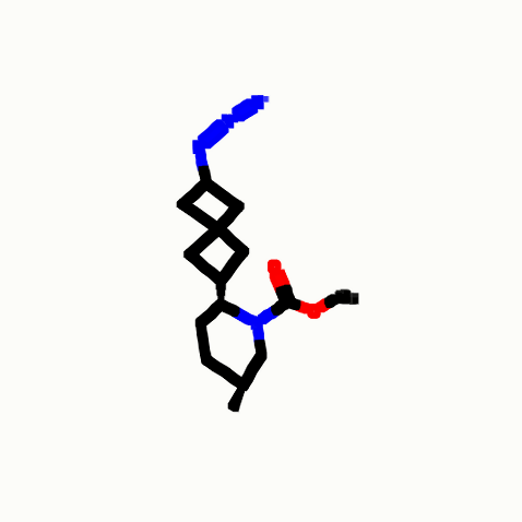 C[C@H]1CC[C@H](C2CC3(CC(N=[N+]=[N-])C3)C2)N(C(=O)OC(C)(C)C)C1